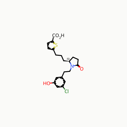 O=C(O)c1ccc(CCC[C@H]2CCC(=O)N2CCc2cc(O)cc(Cl)c2)s1